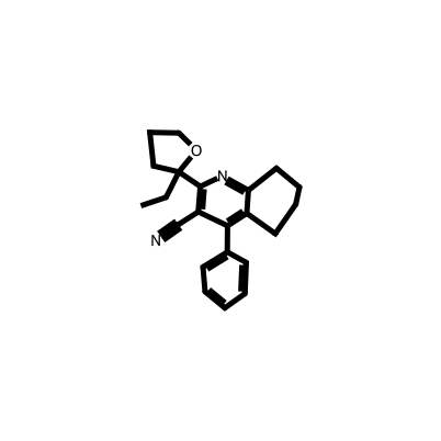 CCC1(c2nc3c(c(-c4ccccc4)c2C#N)CCCC3)CCCO1